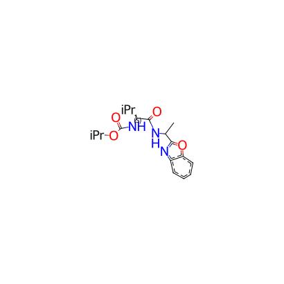 CC(C)OC(=O)N[C@H](C(=O)NC(C)c1nc2ccccc2o1)C(C)C